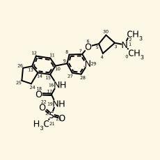 CN(C)C1CC(Oc2cc(-c3ccc4c(c3NC(=O)NS(C)(=O)=O)CCC4)ccn2)C1